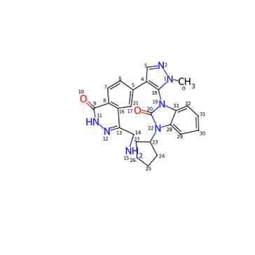 Cn1ncc(-c2ccc3c(=O)[nH]nc(CN)c3c2)c1-n1c(=O)n(C2CCCC2)c2ccccc21